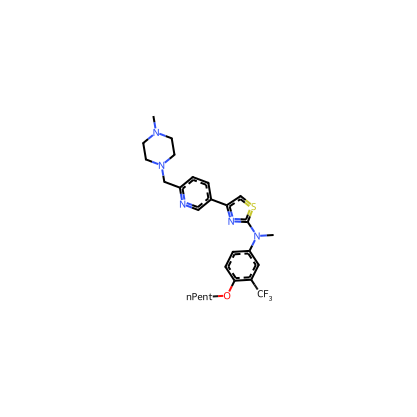 CCCCCOc1ccc(N(C)c2nc(-c3ccc(CN4CCN(C)CC4)nc3)cs2)cc1C(F)(F)F